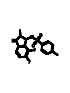 Cc1ccc(S(=O)(=O)OC2c3c(ccc(F)c3F)NC2C)cc1